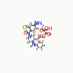 C=Cc1ccccc1N(C)C1CCN(C(=O)c2ccc(N)cc2Cl)CC1.O=C(O)C(=O)O